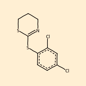 Clc1ccc(SC2=NCCCS2)c(Cl)c1